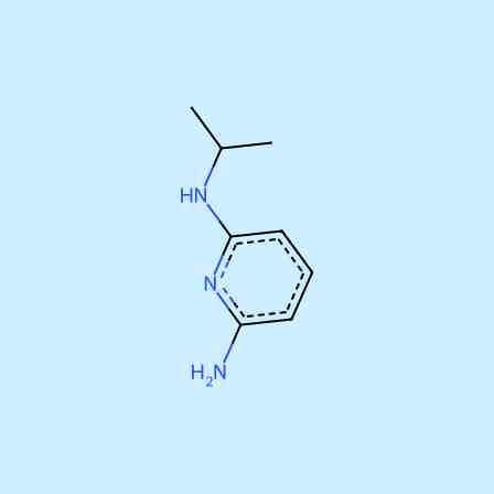 CC(C)Nc1cccc(N)n1